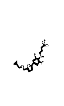 COC(=O)CCCN(C)c1c(F)cc(-c2ccc(COCC3CC3)o2)cc1F